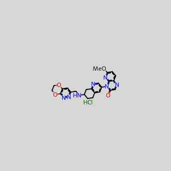 COc1ccc2ncc(=O)n(-c3cnc4c(c3)CCC(NCc3cc5c(nn3)OCCO5)C4)c2n1.Cl